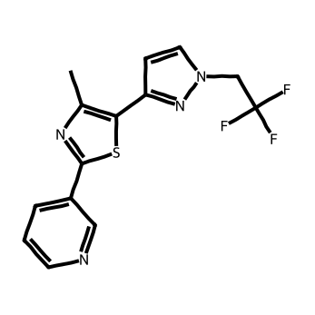 Cc1nc(-c2cccnc2)sc1-c1ccn(CC(F)(F)F)n1